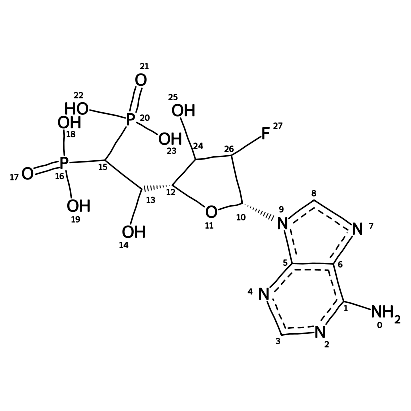 Nc1ncnc2c1ncn2[C@@H]1O[C@H](C(O)C(P(=O)(O)O)P(=O)(O)O)C(O)C1F